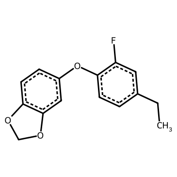 CCc1ccc(Oc2ccc3c(c2)OCO3)c(F)c1